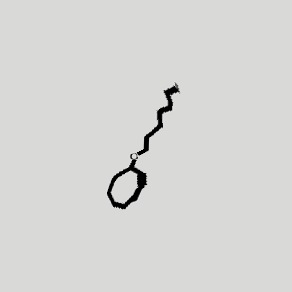 ICCCCCCOC1C#CCCCCC1